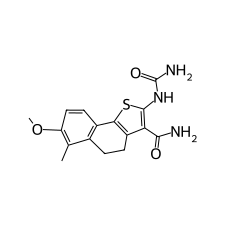 COc1ccc2c(c1C)CCc1c-2sc(NC(N)=O)c1C(N)=O